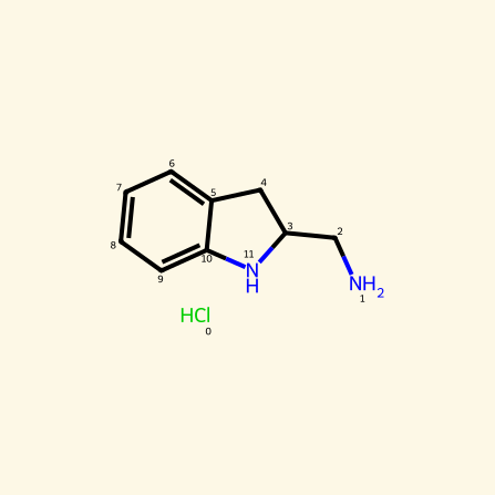 Cl.NCC1Cc2ccccc2N1